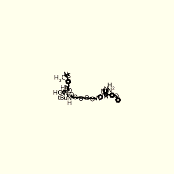 Cc1ncsc1-c1ccc(CNC(=O)[C@@H]2C[C@@H](O)CN2C[C@@H](NC(=O)COCCOCCOCCOCCN2CCC(n3nc(-c4ccc(Oc5ccccc5)cc4)c4c(N)ncnc43)CC2)C(C)(C)C)cc1